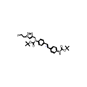 CN(C(=O)OC(C)(C)C)c1ccc(/C=C/c2ccc(N(Cc3cn(CCF)nn3)C(=O)OC(C)(C)C)cc2)cc1